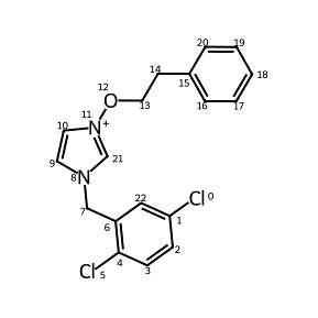 Clc1ccc(Cl)c(Cn2cc[n+](OCCc3ccccc3)c2)c1